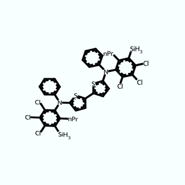 CCCc1c([SiH3])c(Cl)c(Cl)c(Cl)c1N(c1ccccc1)c1ccc(-c2ccc(N(c3ccccc3)c3c(Cl)c(Cl)c(Cl)c([SiH3])c3CCC)s2)s1